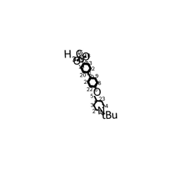 CC(C)(C)N1CCC(COc2ccc(-c3ccc(S(C)(=O)=O)cc3)cc2)CC1